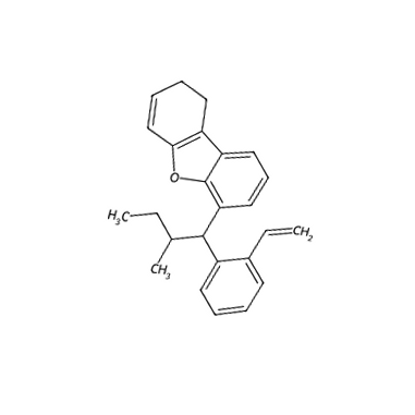 C=Cc1ccccc1C(c1cccc2c3c(oc12)C=CCC3)C(C)CC